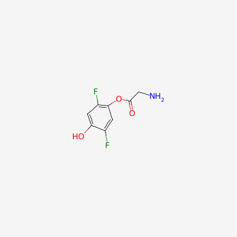 NCC(=O)Oc1cc(F)c(O)cc1F